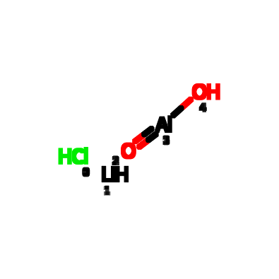 Cl.[LiH].[O]=[Al][OH]